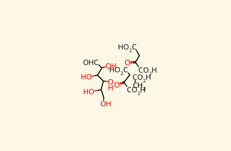 CC(=O)O.O=C(O)CC(=O)C(=O)O.O=C(O)CC(=O)C(=O)O.O=CC(O)C(O)C(O)C(O)CO